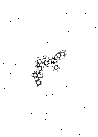 C1=C(c2nc(-c3ccccc3)nc(-c3ccc4ccccc4c3)n2)c2cccc(C3=CCCc4oc5cc(-c6ccc(-c7ccccc7)c7ccccc67)ccc5c43)c2CC1